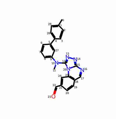 Cc1ccc(-c2cccc(N(C)c3nnc4ncc5ccc(C=O)cc5n34)c2)cc1